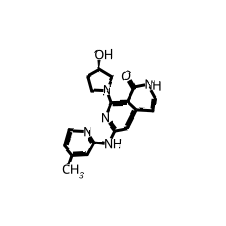 Cc1ccnc(Nc2cc3cc[nH]c(=O)c3c(N3CC[C@@H](O)C3)n2)c1